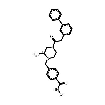 C[C@H]1CN(C(=O)Cc2cccc(-c3ccccc3)c2)CCN1Cc1ccc(C(=O)NO)cc1